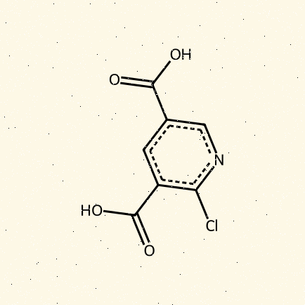 O=C(O)c1cnc(Cl)c(C(=O)O)c1